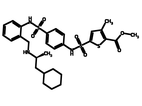 COC(=O)c1sc(S(=O)(=O)Nc2ccc(S(=O)(=O)Nc3ccccc3CN[C@@H](C)CC3CCCCC3)cc2)cc1C